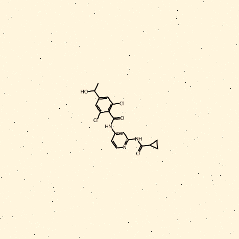 CC(O)c1cc(Cl)c(C(=O)Nc2ccnc(NC(=O)C3CC3)c2)c(Cl)c1